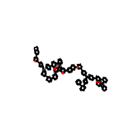 c1ccc(-c2cccc(-c3cccc(N(c4ccc(-c5ccc(-c6ccccc6-n6c7ccccc7c7ccc(-c8ccc9cc(-c%10cccc(-c%11ccc(N(c%12ccc(-c%13ccc(-c%14ccccc%14-n%14c%15ccccc%15c%15ccccc%15%14)cc%13)cc%12)c%12ccc(-c%13ccccc%13-c%13ccccc%13)cc%12)cc%11)c%10)ccc9c8)cc76)cc5)cc4)c4ccc(-c5cccc(-c6ccc7ccccc7c6)c5)cc4)c3)c2)cc1